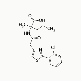 CCCC(C)(NC(=O)Cc1csc(-c2ccccc2Cl)n1)C(=O)O